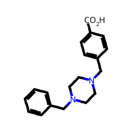 O=C(O)c1ccc(CN2CCN(Cc3ccccc3)CC2)cc1